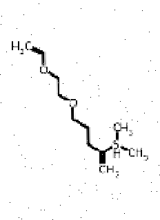 C=COCCOCCCC(=C)[SiH](C)C